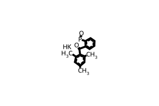 Cc1cc(C)c(C(=O)c2ccccc2P=O)c(C)c1.[KH]